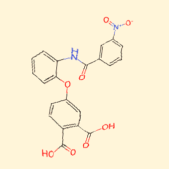 O=C(Nc1ccccc1Oc1ccc(C(=O)O)c(C(=O)O)c1)c1cccc([N+](=O)[O-])c1